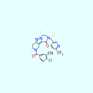 C[C@@H]1Cc2nn3c(c2CN1C(=O)c1ccc(Cl)c(C#N)c1)C(=O)N([C@H](C)c1ccc(C(F)(F)F)nc1)C[C@H]3C